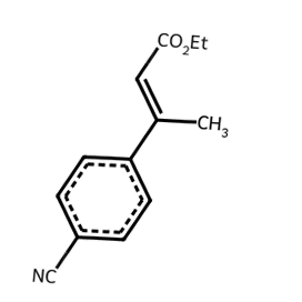 CCOC(=O)C=C(C)c1ccc(C#N)cc1